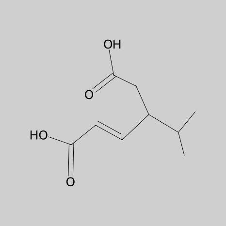 CC(C)C(C=CC(=O)O)CC(=O)O